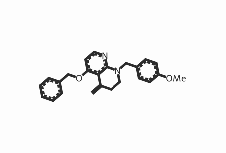 C=C1CCN(Cc2ccc(OC)cc2)c2nccc(OCc3ccccc3)c21